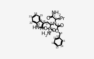 CC(C)C(C(N)=O)N(C(=O)OCc1ccccc1)C(Cc1c[nH]c2ccccc12)P(N)(=O)O